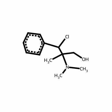 CN(C)C(C)(CO)C(Cl)c1ccccc1